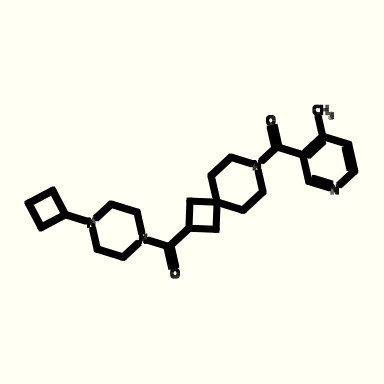 Cc1ccncc1C(=O)N1CCC2(CC1)CC(C(=O)N1CCN(C3CCC3)CC1)C2